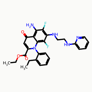 CCOC(=O)c1cc(=O)c2c(N)c(F)c(NCCNc3ccccn3)c(F)c2n1-c1ccccc1CC